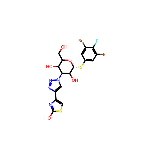 OCC1O[C@H](Sc2cc(Br)c(F)c(Br)c2)C(O)[C@@H](n2cc(-c3csc(O)n3)nn2)[C@H]1O